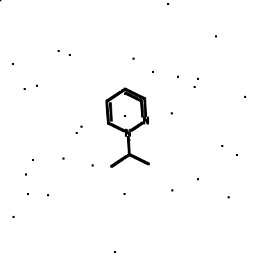 CC(C)N1C=CC=C=N1